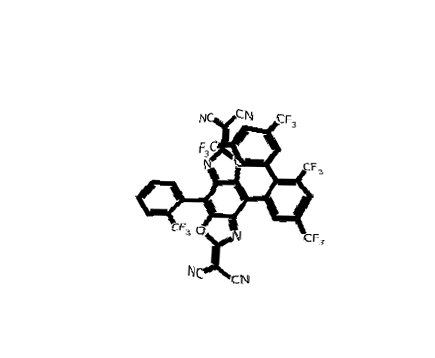 N#CC(C#N)=c1nc2c(-c3cc(C(F)(F)F)cc(C(F)(F)F)c3-c3cc(C(F)(F)F)cc(C(F)(F)F)c3)c3oc(=C(C#N)C#N)nc3c(-c3ccccc3C(F)(F)F)c2o1